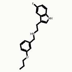 CCCOc1cccc(CNCCc2c[nH]c3ccc(F)cc23)c1